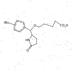 CC(C)(C)c1ccc(C(OCCCCC(=O)O)C2CCC(=O)N2)cc1